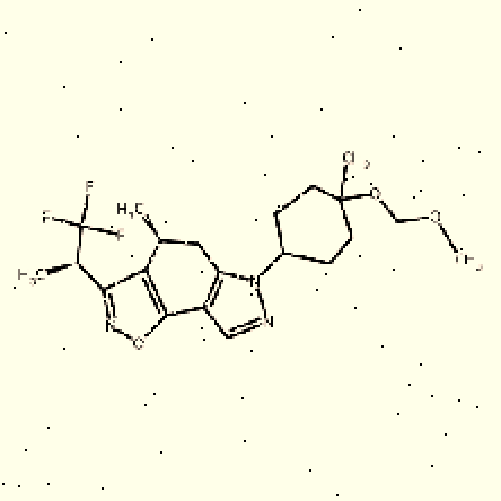 COCOC1(C)CCC(n2ncc3c2C[C@H](C)c2c([C@@H](C)C(F)(F)F)noc2-3)CC1